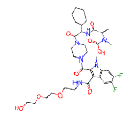 CC(C(=O)NC(C(=O)N1CCN(C(=O)c2c(C(=O)NCCOCCOCCO)c3cc(F)c(F)cc3n2C)CC1)C1CCCCC1)N(C)C(=O)O